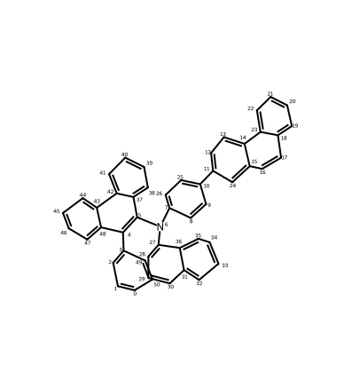 c1ccc(-c2c(N(c3ccc(-c4ccc5c(ccc6ccccc65)c4)cc3)c3cccc4ccccc34)c3ccccc3c3ccccc23)cc1